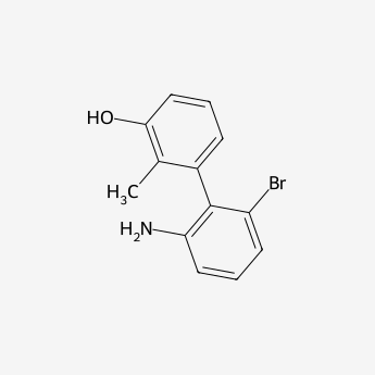 Cc1c(O)cccc1-c1c(N)cccc1Br